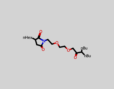 CCCCCCC1CC(=O)N(CCOCCOCC(=O)C(CCCC)CCCC)C1=O